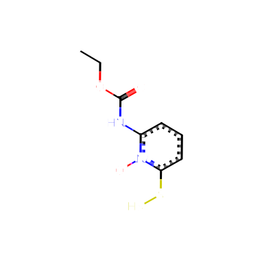 CCOC(=O)Nc1cccc(SS)[n+]1[O-]